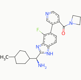 CC1CCC([C@H](N)c2nc3c(F)c(-c4cnccc4C(=O)N4CCC4)ccc3[nH]2)CC1